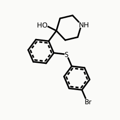 OC1(c2ccccc2Sc2ccc(Br)cc2)CCNCC1